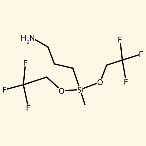 C[Si](CCCN)(OCC(F)(F)F)OCC(F)(F)F